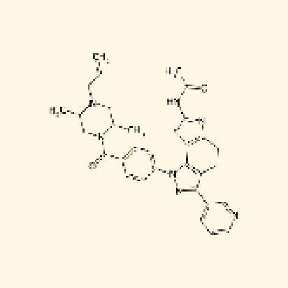 C=CCN1CC(C)N(C(=O)c2ccc(-n3nc(-c4cccnc4)c4c3-c3sc(NC(C)=O)nc3CC4)cc2)CC1C